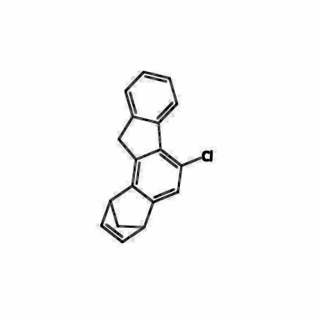 Clc1cc2c(c3c1-c1ccccc1C3)C1C=CC2C1